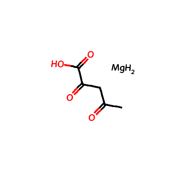 CC(=O)CC(=O)C(=O)O.[MgH2]